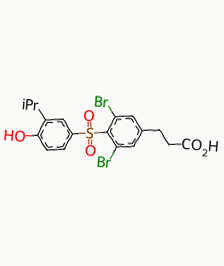 CC(C)c1cc(S(=O)(=O)c2c(Br)cc(CCC(=O)O)cc2Br)ccc1O